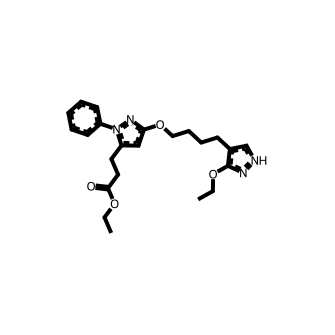 CCOC(=O)CCc1cc(OCCCCc2c[nH]nc2OCC)nn1-c1ccccc1